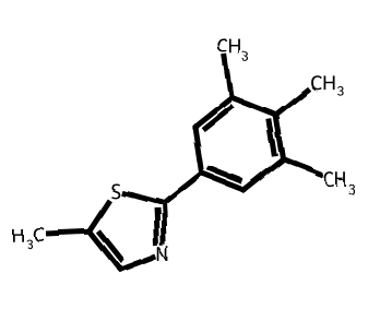 Cc1cnc(-c2cc(C)c(C)c(C)c2)s1